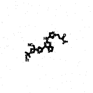 CCSC(C)(C)N1CC(CC#N)(n2cc(-c3nc(Nc4cnn(CCC(=O)N(C)C)c4)nc4ccsc34)cn2)C1